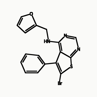 Brc1sc2ncnc(NCc3ccco3)c2c1-c1ccccc1